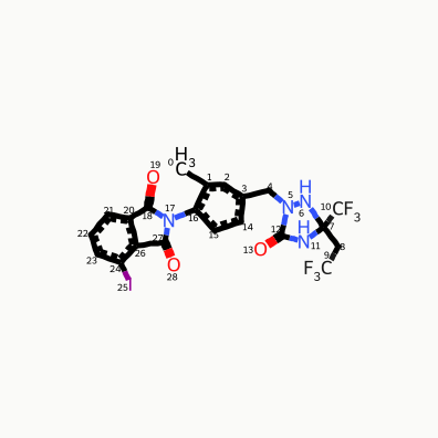 Cc1cc(CN2NC(CC(F)(F)F)(C(F)(F)F)NC2=O)ccc1N1C(=O)c2cccc(I)c2C1=O